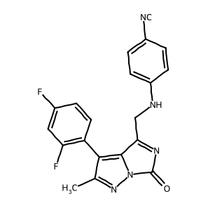 [C-]#[N+]c1ccc(NCC2=NC(=O)n3nc(C)c(-c4ccc(F)cc4F)c32)cc1